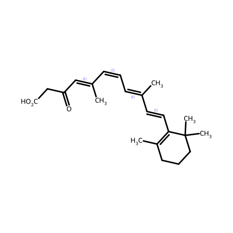 CC1=C(/C=C/C(C)=C/C=C\C(C)=C\C(=O)CC(=O)O)C(C)(C)CCC1